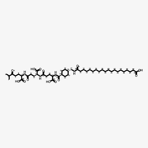 CC(C)C(=O)CCC(NC(=O)CC[C@H](NC(=O)CCC(NC(=O)[C@H]1CC[C@H](CNC(=O)CCCCCCCCCCCCCCCCCCC(=O)O)CC1)C(=O)O)C(=O)O)C(=O)O